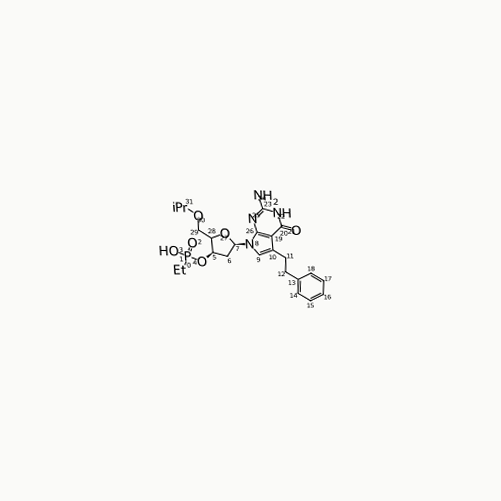 CCP(=O)(O)O[C@@H]1C[C@H](n2cc(CCc3ccccc3)c3c(=O)[nH]c(N)nc32)OC1COC(C)C